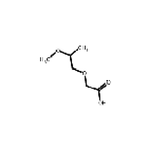 COC(C)COCC(=O)O